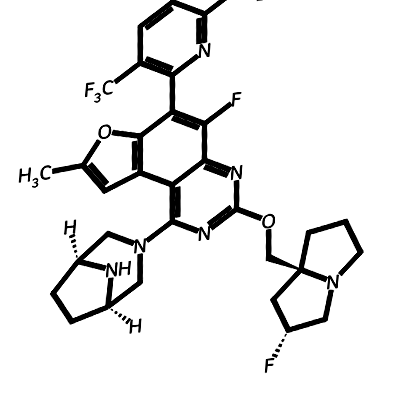 Cc1cc2c(o1)c(-c1nc(N)ccc1C(F)(F)F)c(F)c1nc(OC[C@@]34CCCN3C[C@H](F)C4)nc(N3C[C@H]4CC[C@@H](C3)N4)c12